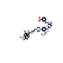 COc1cc(N2CCN(CCCNC(=O)CC3[C@H]4C[C@H]5CC[C@@H]3C5(C)C4)CC2)ccc1Nc1ncc(Cl)c(NCc2cccc([N+](=O)[O-])c2)n1